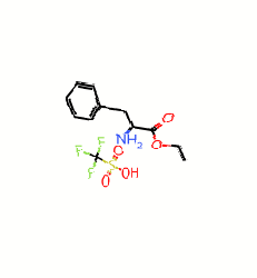 CCOC(=O)C(N)Cc1ccccc1.O=S(=O)(O)C(F)(F)F